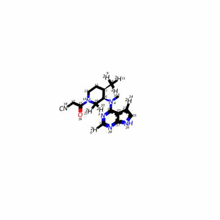 [2H]c1nc(N(C)[C@@H]2[C@H](C([2H])([2H])[2H])CCN(C(=O)C[N+]#[C-])C2([2H])[2H])c2c([2H])c[nH]c2n1